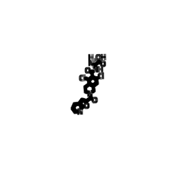 N[C@H](NC(=O)c1c(Cl)cc2c(c1Cl)CCN(C(=O)c1cc3cccnc3o1)C2)C(=O)O